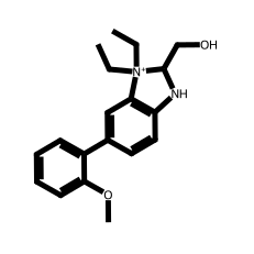 CC[N+]1(CC)c2cc(-c3ccccc3OC)ccc2NC1CO